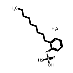 CCCCCCCCCc1ccccc1OP(O)(=S)S.S